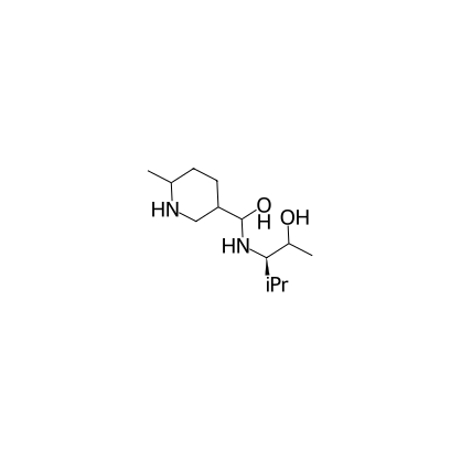 CC1CCC(C(O)N[C@H](C(C)C)C(C)O)CN1